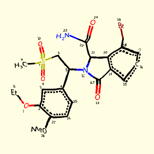 CCOc1cc(C(CS(C)(=O)=O)N2C(=O)c3[c]ccc(Br)c3C2C(N)=O)ccc1OC